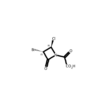 O=C(O)C(=O)N1C(=O)[C@H](Br)[C@H]1Cl